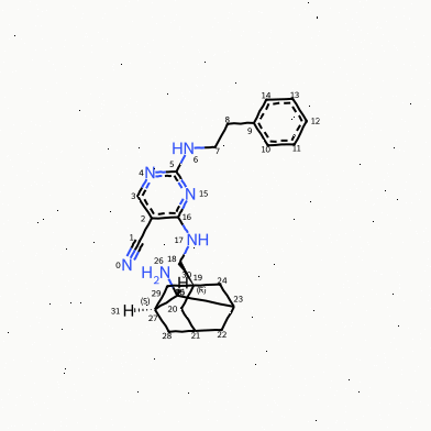 N#Cc1cnc(NCCc2ccccc2)nc1NC[C@]12CC3CC(C1)[C@@H](N)[C@@H](C3)C2